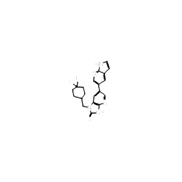 O=c1[nH]c2ncc(-c3cnc4[nH]ccc4c3)cc2n1CC1CCC(F)(F)CC1